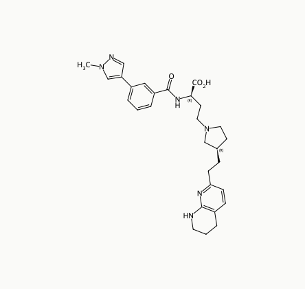 Cn1cc(-c2cccc(C(=O)N[C@H](CCN3CC[C@@H](CCc4ccc5c(n4)NCCC5)C3)C(=O)O)c2)cn1